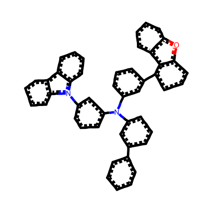 c1ccc(-c2cccc(N(c3cccc(-c4cccc5oc6ccccc6c45)c3)c3cccc(-n4c5ccccc5c5ccccc54)c3)c2)cc1